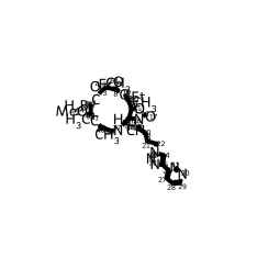 B[C@@H]1CC(=O)[C@](C)(F)C(=O)O[C@H](CC)[C@@]2(C)OC(=O)N(CCCCn3cc(-c4cccnn4)nn3)[C@@H]2[C@@H](C)NC[C@H](C)C[C@@]1(C)OC